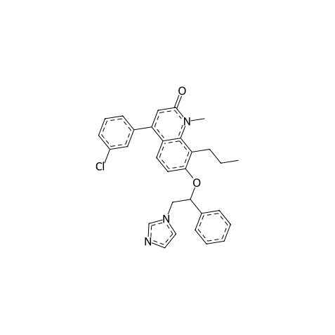 CCCc1c(OC(Cn2ccnc2)c2ccccc2)ccc2c(-c3cccc(Cl)c3)cc(=O)n(C)c12